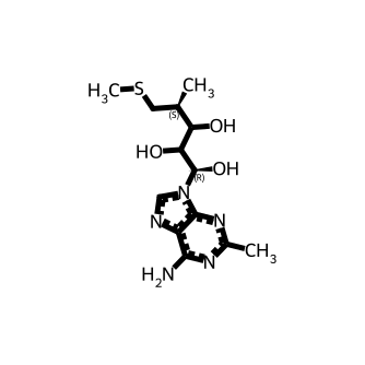 CSC[C@@H](C)C(O)C(O)[C@@H](O)n1cnc2c(N)nc(C)nc21